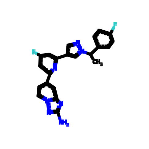 CC(c1ccc(F)cc1)n1cc(-c2cc(F)cc(-c3ccn4nc(N)nc4c3)n2)cn1